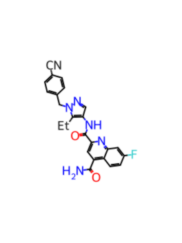 CCc1c(NC(=O)c2cc(C(N)=O)c3ccc(F)cc3n2)cnn1Cc1ccc(C#N)cc1